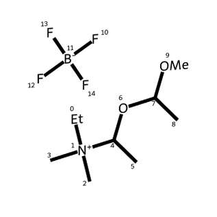 CC[N+](C)(C)C(C)OC(C)OC.F[B-](F)(F)F